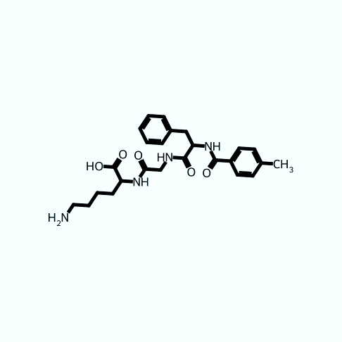 Cc1ccc(C(=O)NC(Cc2ccccc2)C(=O)NCC(=O)NC(CCCCN)C(=O)O)cc1